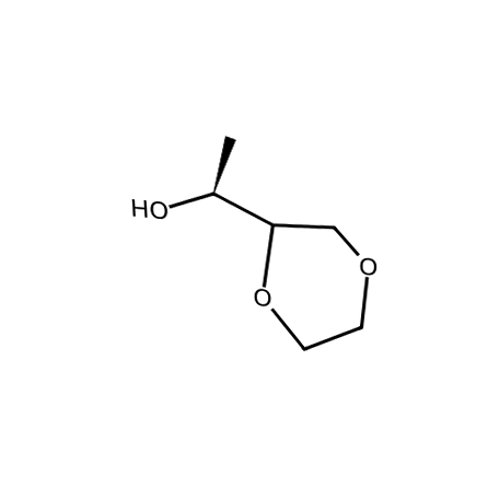 C[C@H](O)C1COCCO1